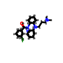 CN(C)CCCN(c1ccccc1)c1ccccc1NC(=O)c1cccc(F)c1